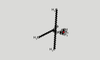 CC(=O)O.CC(=O)O.CC(=O)O.CCCCCCCCCCCCCCCCCC(=O)OCC(COC(=O)CCCCCCCCCCCCCCCCC)OC(=O)CCCCCCCCCCCCCCCCC